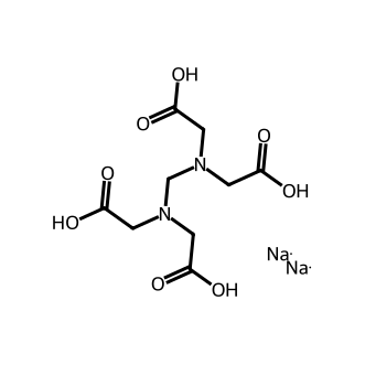 O=C(O)CN(CC(=O)O)CN(CC(=O)O)CC(=O)O.[Na].[Na]